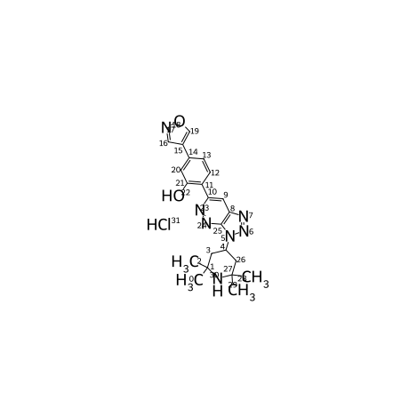 CC1(C)CC(n2nnc3cc(-c4ccc(-c5cnoc5)cc4O)nnc32)CC(C)(C)N1.Cl